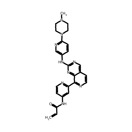 C=CC(=O)Nc1ccnc(-c2nccc3cnc(Nc4ccc(N5CCN(C)CC5)nc4)nc23)c1